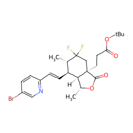 C[C@H]1OC(=O)[C@]2(CCC(=O)OC(C)(C)C)CC(F)(F)[C@@H](C)[C@H](C=Cc3ccc(Br)cn3)[C@H]12